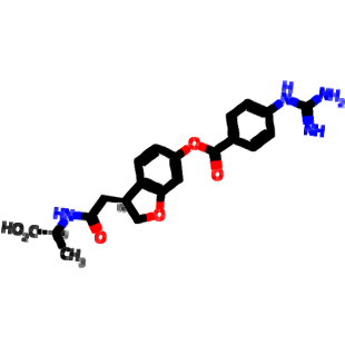 C[C@@H](NC(=O)C[C@@H]1COc2cc(OC(=O)c3ccc(NC(=N)N)cc3)ccc21)C(=O)O